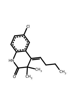 CCC/C=C1/c2cc(Cl)ccc2NC(=O)C1(C)C